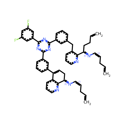 C=CC/C=C\N=C(/CCC=C)c1ncccc1Cc1cccc(-c2nc(-c3cc(F)cc(F)c3)nc(-c3cccc(C4=CC/C(=N\C=C/CC=C)c5ncccc54)c3)n2)c1